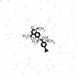 CCn1c(=O)cc(C(C)C)c2cc(N(C)C(=O)c3ccc(C4CC4)cc3NC)ccc21